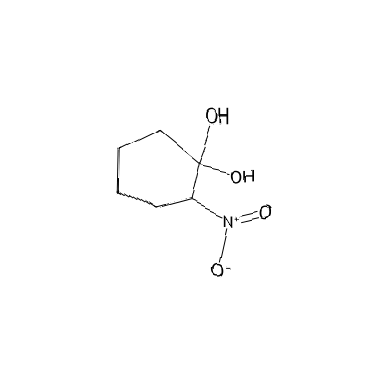 O=[N+]([O-])C1CCCCC1(O)O